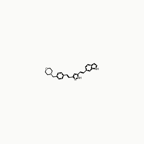 C(=Cc1cc(C=Cc2ccc3cc[nH]c3c2)[nH]n1)c1ccc(CN2CCOCC2)cc1